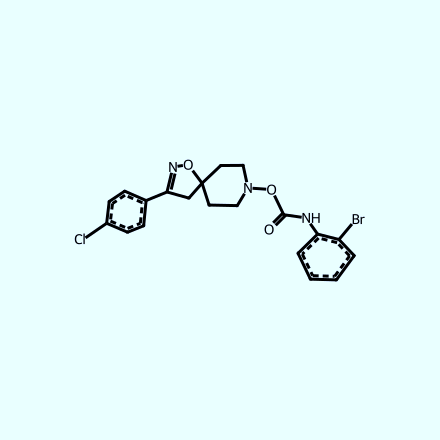 O=C(Nc1ccccc1Br)ON1CCC2(CC1)CC(c1ccc(Cl)cc1)=NO2